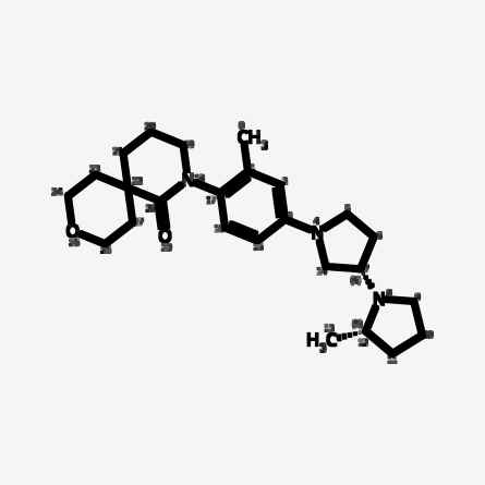 Cc1cc(N2CC[C@H](N3CCC[C@@H]3C)C2)ccc1N1CCCC2(CCOCC2)C1=O